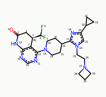 O=C1C[C@@H](C(F)F)c2c(ncnc2N2CCC(c3nc(C4CC4)cn3CCN3CCC3)CC2)N1